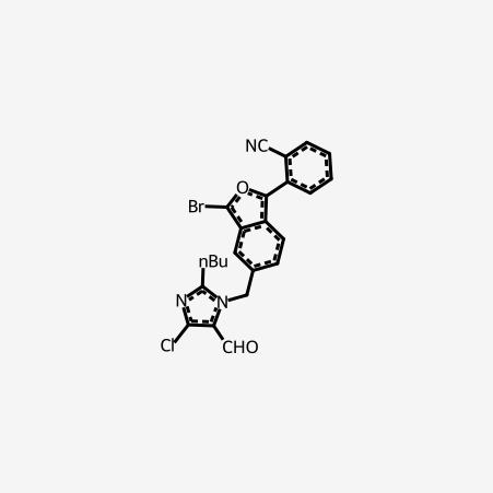 CCCCc1nc(Cl)c(C=O)n1Cc1ccc2c(-c3ccccc3C#N)oc(Br)c2c1